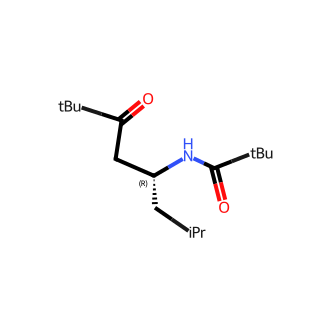 CC(C)C[C@H](CC(=O)C(C)(C)C)NC(=O)C(C)(C)C